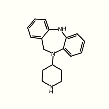 c1ccc2c(c1)CN(C1CCNCC1)c1ccccc1N2